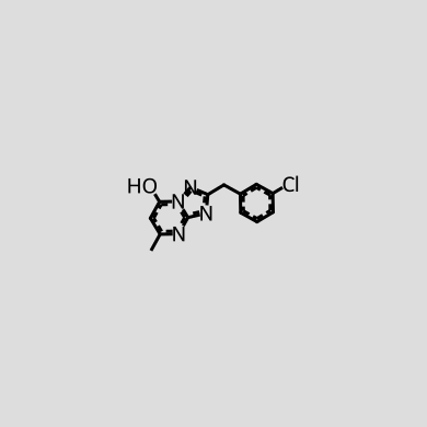 Cc1cc(O)n2nc(Cc3cccc(Cl)c3)nc2n1